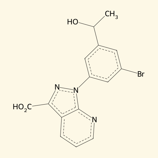 CC(O)c1cc(Br)cc(-n2nc(C(=O)O)c3cccnc32)c1